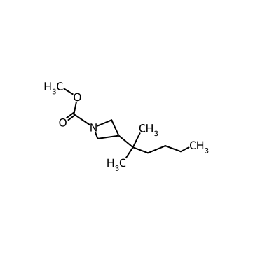 CCCCC(C)(C)C1CN(C(=O)OC)C1